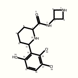 O=C(NC1CNC1)C1CCCC(c2c(O)ccc(Cl)c2Cl)N1